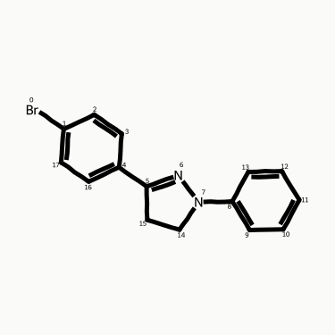 Brc1ccc(C2=NN(c3ccccc3)CC2)cc1